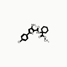 COC(=O)C1(NC(=O)c2sc(-c3ccc(Cl)cc3)cc2N)CCCCC1